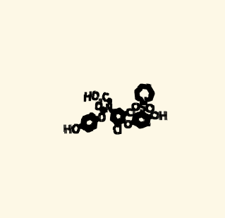 O=C(O)CN(C(=O)Oc1ccc(O)cc1)c1cc(Cl)c(Oc2ccc(O)c(S(=O)(=O)N3CCCCCC3)c2)c(Cl)c1